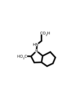 O=C(O)CNN1C(C(=O)O)CC2CCCCC21